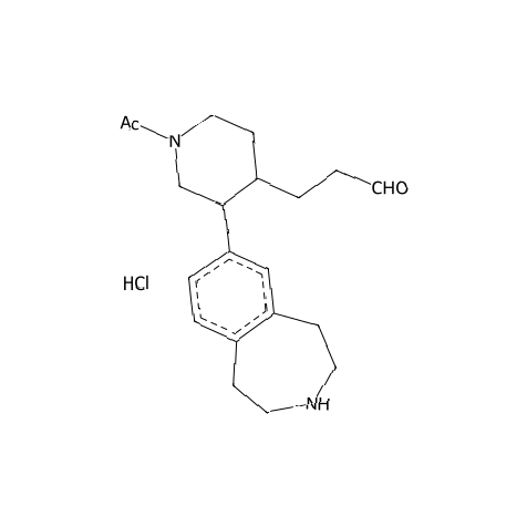 CC(=O)N1CCC(CCC=O)C(c2ccc3c(c2)CCNCC3)C1.Cl